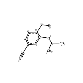 CC(C)Oc1cc(C#N)ccc1CBr